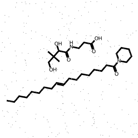 CC(C)(CO)C(O)C(=O)NCCC(=O)O.CCCCCCCCC=CCCCCCCCC(=O)N1CCCCC1